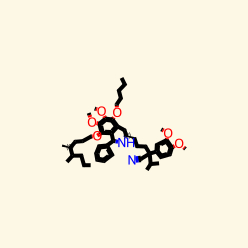 CCCCCOc1c2c(c(OCCC[C@H](C)C(C)CCC)c(OC)c1OC)C(c1ccccc1)N[C@H](CCCC(C#N)(c1ccc(OC)c(OC)c1)C(C)C)C2